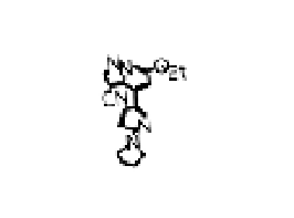 CCOc1cc(-c2ccc(N3CCCC3)nc2)c2c(C#N)cnn2c1